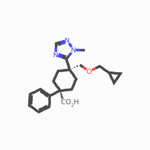 Cn1ncnc1[C@]1(COCC2CC2)CC[C@@](C(=O)O)(c2ccccc2)CC1